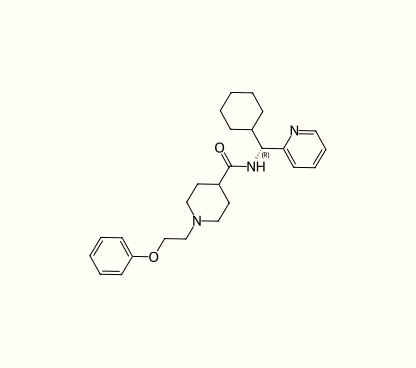 O=C(N[C@@H](c1ccccn1)C1CCCCC1)C1CCN(CCOc2ccccc2)CC1